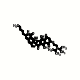 C/C=C/C=C/c1cc2cc3c(c(O)c2c(=O)[nH]1)[C@@]1(CC3)C(=O)c2c(O)c3c(c(O)c2C1=O)C(=O)C(OCCN(C(C)C)C(C)C)=CC3=O